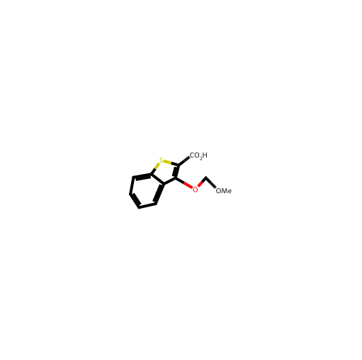 COCOc1c(C(=O)O)sc2ccccc12